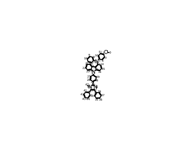 COc1ccc(N(c2ccccc2)c2cccc3c2c2ccccc2n3-c2ccc(-c3nc(-c4ccccc4)c(-c4ccccc4)n3C)cc2)cc1